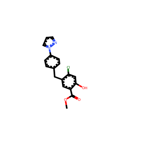 COC(=O)c1cc(Cc2ccc(-n3cccn3)cc2)c(Cl)cc1O